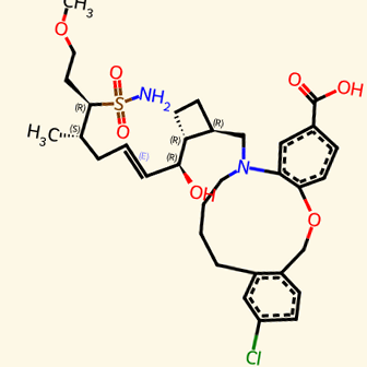 COCC[C@H]([C@@H](C)C/C=C/[C@H](O)[C@@H]1CC[C@H]1CN1CCCCc2cc(Cl)ccc2COc2ccc(C(=O)O)cc21)S(N)(=O)=O